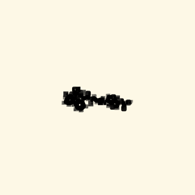 CC(C)(C)[Si](OCC(=O)NCCCN[C@@H]1CO[C@H]2[C@@H]1OC[C@@H]2O[N+](=O)[O-])(c1ccccc1)c1ccccc1